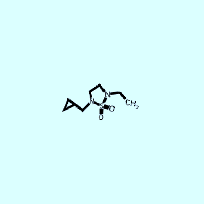 CCN1CCN(CC2CC2)S1(=O)=O